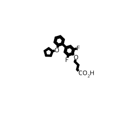 O=C(O)CCCOc1c(F)cc(-c2ccccc2OC2CCCC2)cc1F